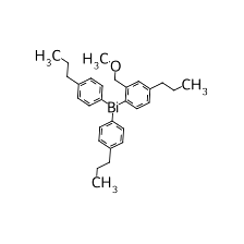 CCCc1cc[c]([Bi]([c]2ccc(CCC)cc2)[c]2ccc(CCC)cc2COC)cc1